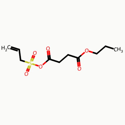 C=CCS(=O)(=O)OC(=O)CCC(=O)OCCC